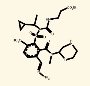 CCOC(=O)CCNC(=O)N(C(C)C1CC1)S(=O)(=O)c1c(C(=O)O)ccc(C=NN)c1C(=O)N(C)C1CNCCO1